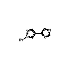 CC(C)n1cc(-c2cncs2)cn1